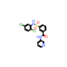 O=C(Nc1cccnc1)c1cccc(S(=O)(=O)Nc2cc(Cl)ccc2Cl)c1